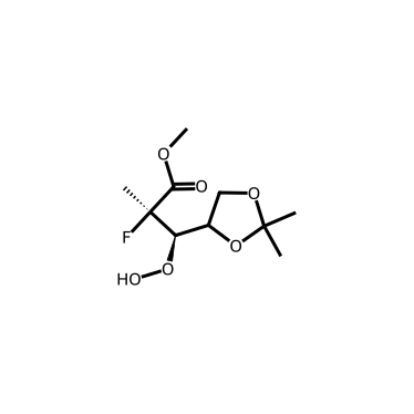 COC(=O)[C@](C)(F)[C@H](OO)C1COC(C)(C)O1